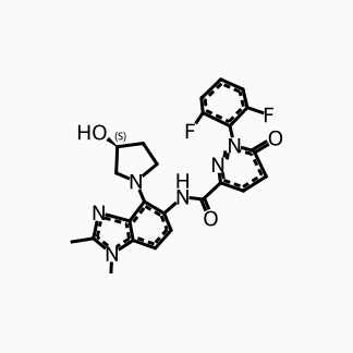 Cc1nc2c(N3CC[C@H](O)C3)c(NC(=O)c3ccc(=O)n(-c4c(F)cccc4F)n3)ccc2n1C